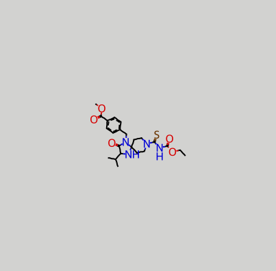 CCOC(=O)NC(=S)N1CCC2(CC1)NC(C(C)C)C(=O)N2Cc1ccc(C(=O)OC)cc1